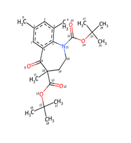 Cc1cc(C)c2c(c1)C(=O)C(C)(C(=O)OC(C)(C)C)CCN2C(=O)OC(C)(C)C